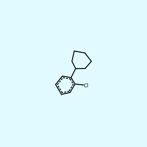 Clc1c[c]ccc1C1CCCCC1